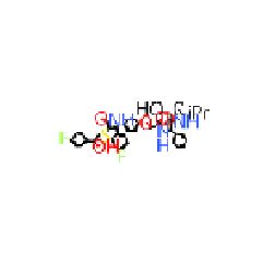 CC(C)[C@@H](NC(=O)[C@H](NC(=O)COc1ccc([C@]2(c3ccc(F)cc3)NC(=O)[C@@H]2SCC(O)c2ccc(F)cc2)cc1)c1ccccc1)C(=O)O